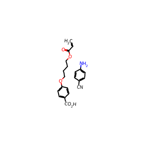 C=CC(=O)OCCCCOc1ccc(C(=O)O)cc1.N#Cc1ccc(N)cc1